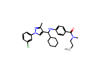 Cc1nn(-c2cccc(Cl)c2)cc1C(Nc1ccc(C(=O)N(C)CCC(=O)O)cc1)C1CCCCC1